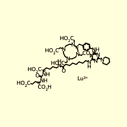 O=C(O)CC[C@H](NC(=O)N[C@@H](CCCCNC(=O)CCCCCCCNc1nc(Nc2ccc(C[C@H]3CN(CC(=O)O)CCN(CC(=O)O)CCN(CC(=O)O)CCN3CC(=O)O)cc2)nc(N2CCCCC2)n1)C(=O)O)C(=O)O.[Lu+3]